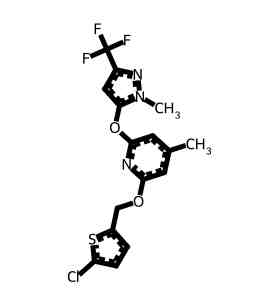 Cc1cc(OCc2ccc(Cl)s2)nc(Oc2cc(C(F)(F)F)nn2C)c1